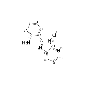 Nc1ncccc1-c1nc2cccnc2n1Cl